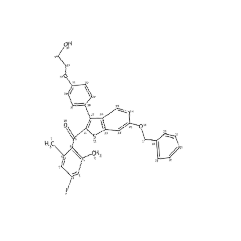 Cc1cc(F)cc(C)c1C(=O)c1sc2cc(OCc3ccccc3)ccc2c1-c1ccc(OCCO)cc1